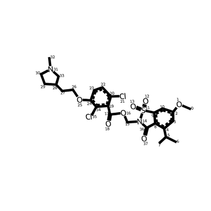 COc1cc(C(C)C)c2c(c1)S(=O)(=O)N(COC(=O)c1c(Cl)ccc(OCCC3CCN(C)C3)c1Cl)C2=O